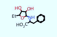 CCC1OC(NC(Cc2ccccc2)C(=O)O)C(O)C1O